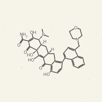 CN(C)[C@@H]1C(O)=C(C(N)=O)C(=O)[C@@]2(O)C(O)=C3C(=O)c4c(O)ccc(-c5ccc(CN6CCOCC6)c6ccccc56)c4C[C@H]3C[C@H]12